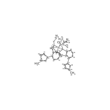 CCC1=Cc2c(-c3cn(C)nn3)cccc2[CH]1[Zr]([Cl])([Cl])([CH]1C(CC)=Cc2c(-c3cn(C)nn3)cccc21)[SiH](C)C